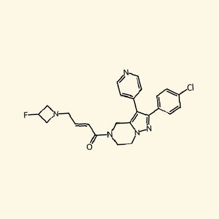 O=C(/C=C/CN1CC(F)C1)N1CCn2nc(-c3ccc(Cl)cc3)c(-c3ccncc3)c2C1